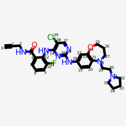 C#CCNC(=O)c1cccc(F)c1Nc1nc(Nc2ccc3c(c2)OCCCN3CCN2CCCC2)ncc1Cl